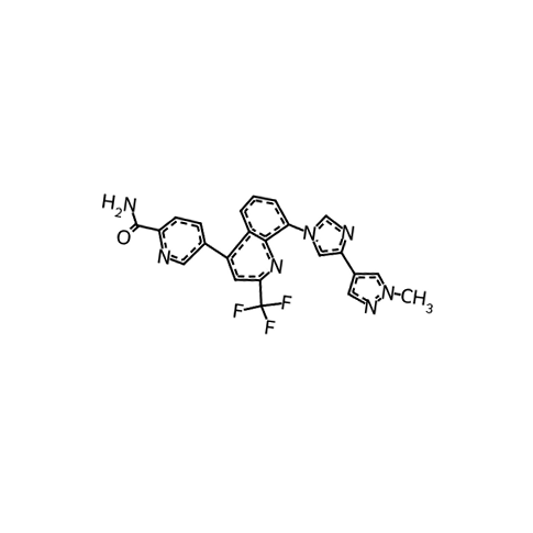 Cn1cc(-c2cn(-c3cccc4c(-c5ccc(C(N)=O)nc5)cc(C(F)(F)F)nc34)cn2)cn1